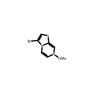 CON1C=CN2C(Br)=CSC2=C1